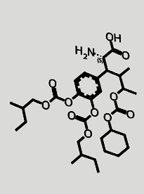 CCC(C)COC(=O)Oc1ccc(C(C(C)C(C)OC(=O)OC2CCCCC2)[C@H](N)C(=O)O)cc1OC(=O)OCC(C)CC